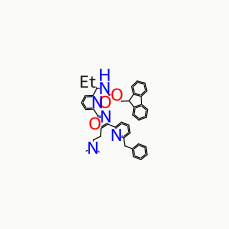 CCC(NC(=O)OCC1c2ccccc2-c2ccccc21)c1cccc(-c2nc(-c3cccc(Cc4ccccc4)n3)c(CCN(C)C)o2)n1